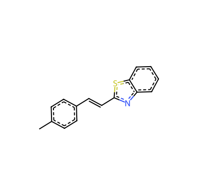 Cc1ccc(/C=C/c2nc3ccccc3s2)cc1